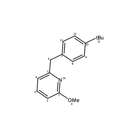 COc1cccc(Cc2ccc(C(C)(C)C)cc2)n1